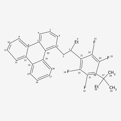 CCC(Cc1cccc2c3ccccc3c3ccccc3c12)c1c(F)c(F)c(C(C)(C)CC)c(F)c1F